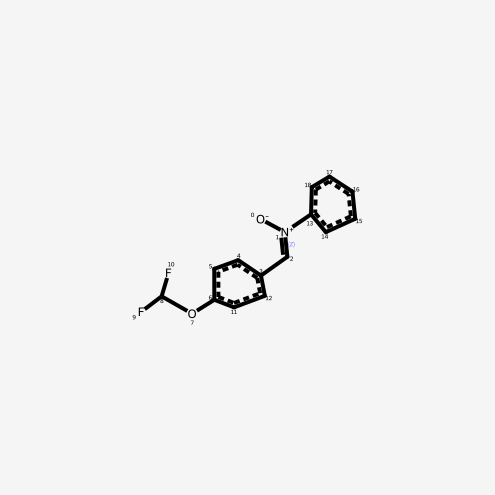 [O-]/[N+](=C\c1ccc(OC(F)F)cc1)c1ccccc1